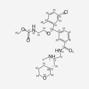 CNC(CNC(=O)c1cccc(C(OCCNC(=O)OC)c2cc(Cl)ccc2C)c1)C[C@H]1CCCOC1